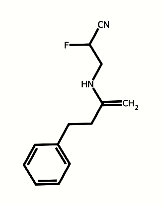 C=C(CCc1ccccc1)NCC(F)C#N